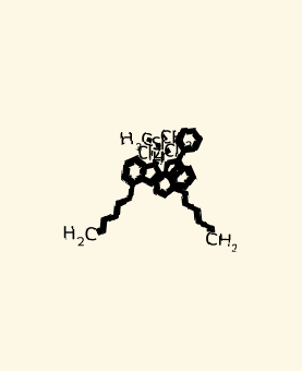 C=CCCCCc1cccc2c1C=C(c1ccccc1)[CH]2[Zr]([Cl])([Cl])([CH]1C(c2ccccc2)=Cc2c(CCCCC=C)cccc21)[SiH](C)C